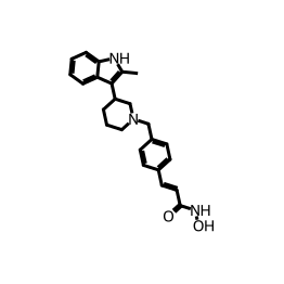 Cc1[nH]c2ccccc2c1C1CCCN(Cc2ccc(/C=C/C(=O)NO)cc2)C1